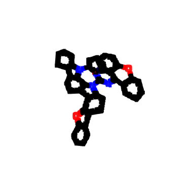 c1ccc(-n2c3ccccc3c3ccc4c5c6oc7ccccc7c6ccc5n(-c5nc6c7c(cccc7n5)Oc5ccccc5-6)c4c32)cc1